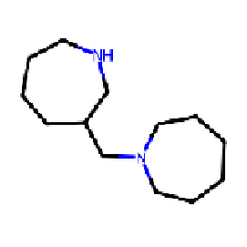 [CH]1CCCCN(CC2CCCCNC2)C1